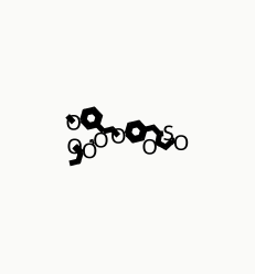 CCC(=O)OCOC(COc1ccc(CC2SC(=O)CC2=O)cc1)c1cccc(OC)c1